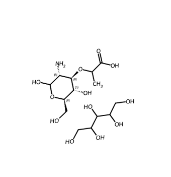 CC(O[C@H]1[C@H](O)[C@@H](CO)OC(O)[C@@H]1N)C(=O)O.OCC(O)C(O)C(O)CO